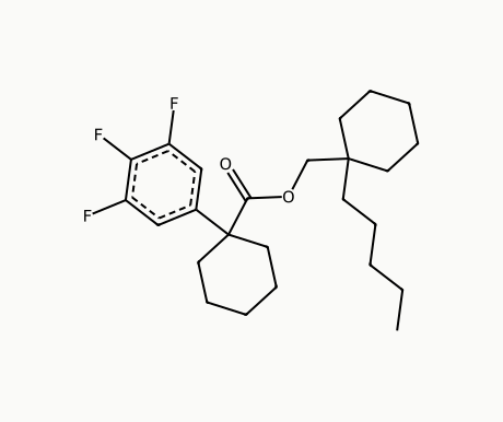 CCCCCC1(COC(=O)C2(c3cc(F)c(F)c(F)c3)CCCCC2)CCCCC1